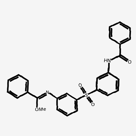 CO/C(=N\c1cccc(S(=O)(=O)c2cccc(NC(=O)c3ccccc3)c2)c1)c1ccccc1